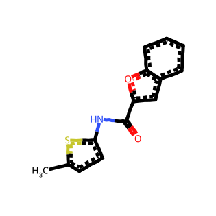 Cc1ccc(NC(=O)c2cc3ccccc3o2)s1